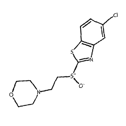 [O-][S+](CCN1CCOCC1)c1nc2cc(Cl)ccc2s1